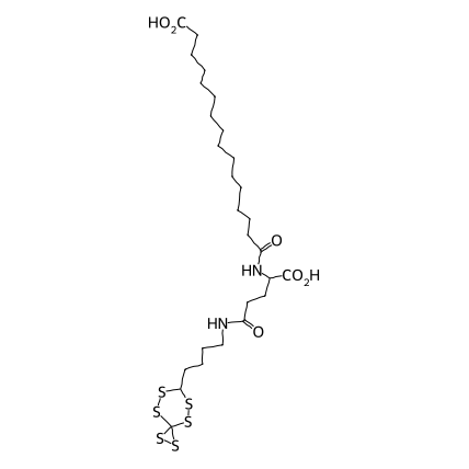 O=C(O)CCCCCCCCCCCCCCC(=O)NC(CCC(=O)NCCCCC1SSC2(SS1)SS2)C(=O)O